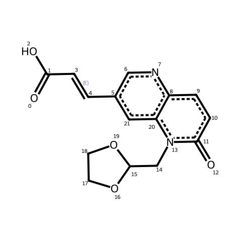 O=C(O)/C=C/c1cnc2ccc(=O)n(CC3OCCO3)c2c1